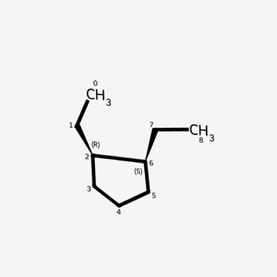 CC[C@@H]1CCC[C@@H]1CC